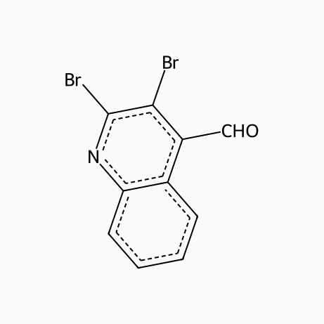 O=Cc1c(Br)c(Br)nc2ccccc12